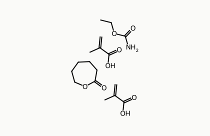 C=C(C)C(=O)O.C=C(C)C(=O)O.CCOC(N)=O.O=C1CCCCCO1